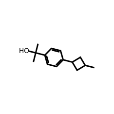 CC1CC(c2ccc(C(C)(C)O)cc2)C1